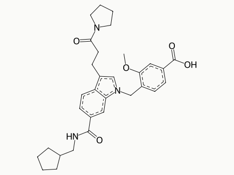 COc1cc(C(=O)O)ccc1Cn1cc(CCC(=O)N2CCCC2)c2ccc(C(=O)NCC3CCCC3)cc21